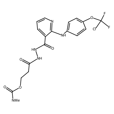 CNC(=O)OCCC(=O)NNC(=O)c1cccnc1Nc1ccc(OC(F)(F)Cl)cc1